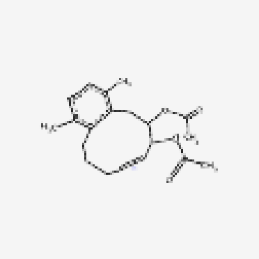 CC(=O)OC1/C=C\C[CH]Cc2c(C)ccc(C)c2CC1OC(C)=O